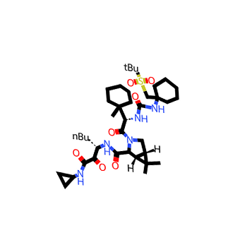 CCCC[C@H](NC(=O)C1[C@@H]2[C@H](CN1C(=O)[C@@H](NC(=O)NC1(CS(=O)(=O)C(C)(C)C)CCCCC1)C1(C)CCCCC1)C2(C)C)C(=O)C(=O)NC1CC1